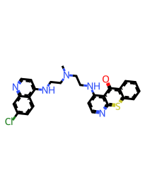 CN(CCNc1ccnc2cc(Cl)ccc12)CCNc1ccnc2sc3ccccc3c(=O)c12